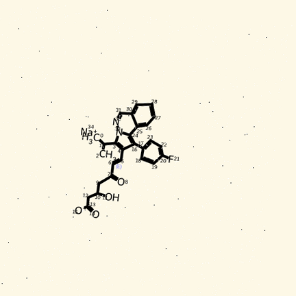 CC(C)c1c(/C=C/C(=O)CC(O)CC(=O)[O-])c(-c2ccc(F)cc2)c2c3ccccc3cnn12.[Na+]